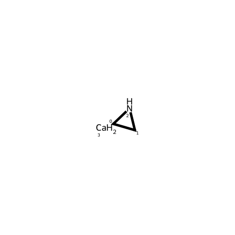 C1CN1.[CaH2]